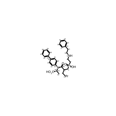 CC(C)CC(CP(=O)(O)CCNCCc1ccccc1)C(=O)N(c1ccc(-c2ccccc2)cc1)[C@@H](C)C(=O)O